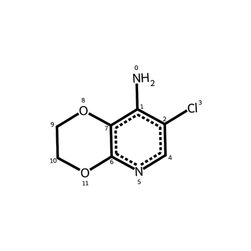 Nc1c(Cl)cnc2c1OCCO2